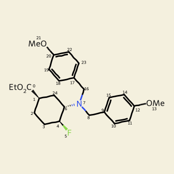 CCOC(=O)[C@@H]1CC[C@H](F)[C@@H](N(Cc2ccc(OC)cc2)Cc2ccc(OC)cc2)C1